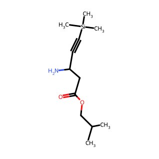 CC(C)COC(=O)CC(N)C#C[Si](C)(C)C